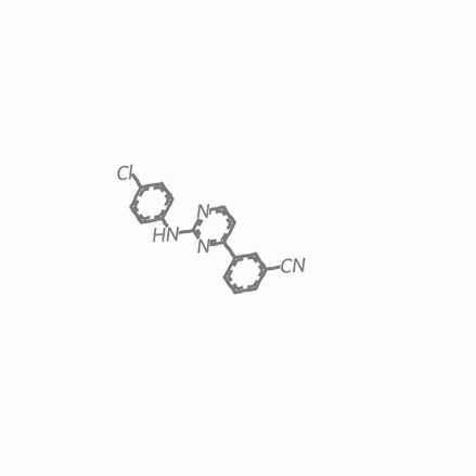 N#Cc1cccc(-c2ccnc(Nc3ccc(Cl)cc3)n2)c1